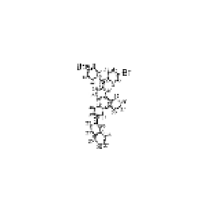 Brc1ccc(N(c2ccc(Br)cc2)c2ccc(-c3ccc(-c4ccc5ccccc5c4)cc3)c(-c3ccccc3)c2)cc1